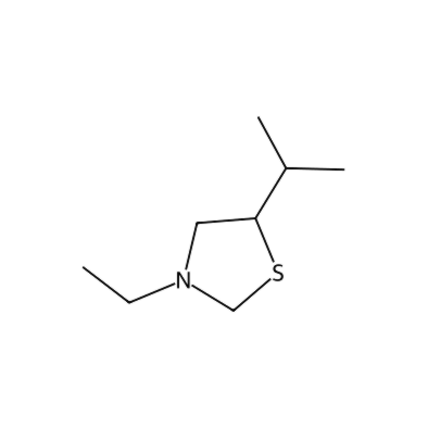 CCN1CSC(C(C)C)C1